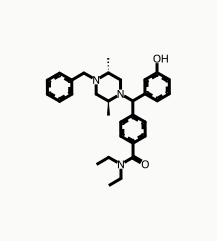 CCN(CC)C(=O)c1ccc(C(c2cccc(O)c2)N2C[C@@H](C)N(Cc3ccccc3)C[C@@H]2C)cc1